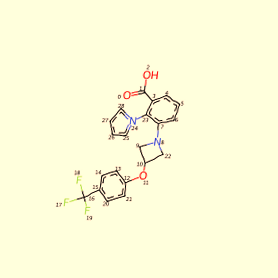 O=C(O)c1cccc(N2CC(Oc3ccc(C(F)(F)F)cc3)C2)c1-n1cccc1